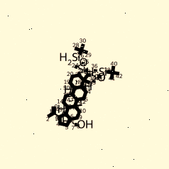 C=C(C)[C@@H]1CC[C@]2(CO)CC[C@]3(C)[C@H](CC[C@@H]4[C@@]5(C)CCC([Si](C)(C)O[SiH2]C(C)(C)C)C(C)(C[Si](C)(C)O[SiH2]C(C)(C)C)[C@@H]5CC[C@]43C)[C@@H]12